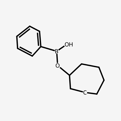 OB(OC1CCCCCC1)c1ccccc1